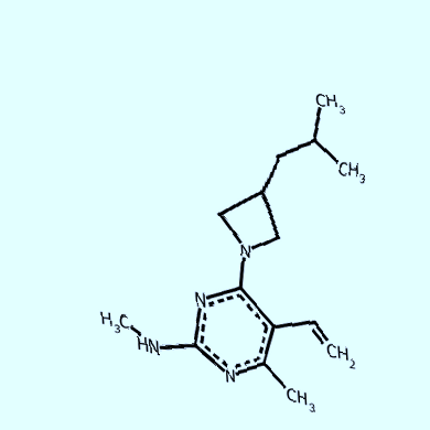 C=Cc1c(C)nc(NC)nc1N1CC(CC(C)C)C1